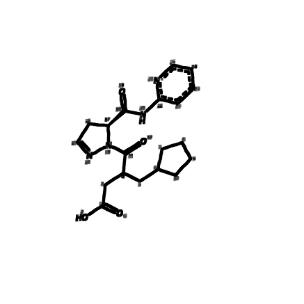 O=C(O)CC(CC1CCCC1)C(=O)N1N=CC[C@H]1C(=O)Nc1ccccn1